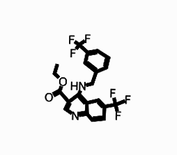 CCOC(=O)c1cnc2ccc(C(F)(F)F)cc2c1NCc1cccc(C(F)(F)F)c1